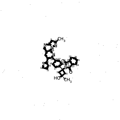 Cc1cc2ncc3cc(-c4cccs4)c(-c4ccc([C@]5(N6C(=O)c7ccccc7C6=O)C[C@](C)(O)C5)cc4)nc3n2n1